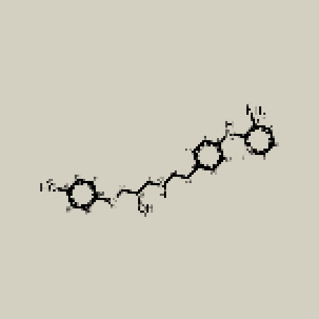 Nc1cccnc1Nc1ccc(CCNC[C@@H](O)COc2ccc(O)cc2)cc1